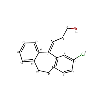 Clc1ccc2c(c1)C(=CCCBr)c1ccccc1CC2